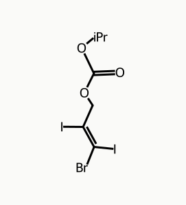 CC(C)OC(=O)OC/C(I)=C(/Br)I